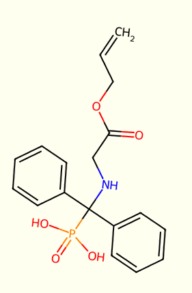 C=CCOC(=O)CNC(c1ccccc1)(c1ccccc1)P(=O)(O)O